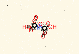 O=COc1cc(/N=[N+](\[O-])c2cc(OC=O)cc(C(=O)O)c2)cc(C(=O)O)c1